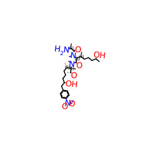 CC(O)CCC[C@H](C)[C@@H](C(=O)N(C)[C@](C)([C]=O)[C@@H](C)CCCC(O)Cc1ccc([N+](=O)[O-])cc1)N(C)C(=O)[C@H](C)N